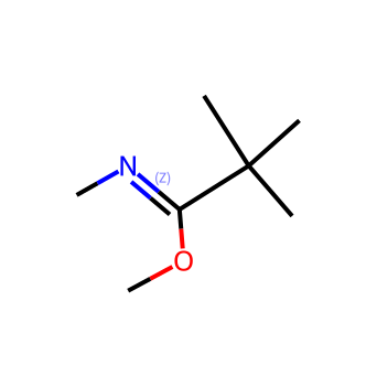 C/N=C(\OC)C(C)(C)C